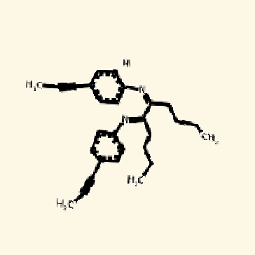 CC#Cc1ccc(N=C(CCCC)C(CCCC)=Nc2ccc(C#CC)cc2)cc1.[Ni]